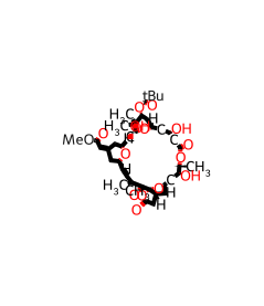 COC(=O)/C=C1\C[C@H]2C[C@]3(O)O[C@H](C[C@@H](O)CC(=O)O[C@@H](C)[C@H](O)C[C@@H]4C[C@@H]5CC(=O)O[C@]5(O4)C(=O)C(C)(C)/C=C/[C@@H](C1)O2)C[C@H](OC(=O)C(C)(C)C)C3(C)C